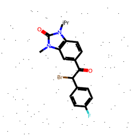 CC(C)n1c(=O)n(C)c2cc(C(=O)C(Br)c3ccc(F)cc3)ccc21